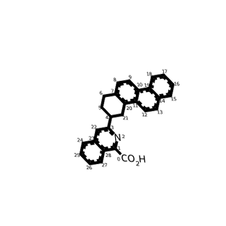 O=C(O)c1nc(C2CCc3ccc4c(ccc5ccccc54)c3C2)cc2ccccc12